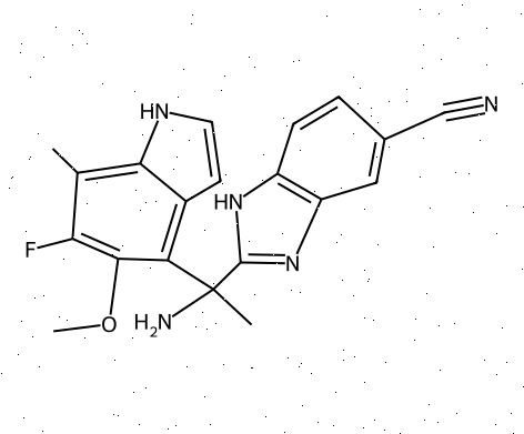 COc1c(F)c(C)c2[nH]ccc2c1C(C)(N)c1nc2cc(C#N)ccc2[nH]1